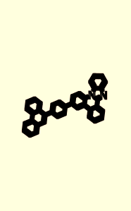 c1ccc2c(c1)cc(-c1ccc(-c3ccc4c(c3)c3ccccc3c3nc5ccccc5n43)cc1)c1ccccc12